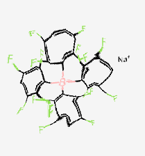 Fc1cc(F)c(F)c([B-](c2c(F)c(F)cc(F)c2F)(c2c(F)c(F)cc(F)c2F)c2c(F)c(F)cc(F)c2F)c1F.[Na+]